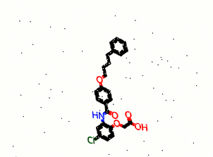 O=C(O)COc1ccc(Cl)cc1NC(=O)c1ccc(OCCCCc2ccccc2)cc1